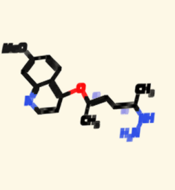 COc1ccc2c(O/C(C)=C/C=C(\C)NN)ccnc2c1